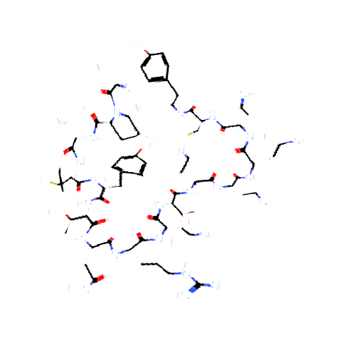 CC[C@H](C)[C@H](NC(=O)[C@@H]1C[C@@H](O)CN1C(=O)[C@@H](N)C(C)C)C(=O)N[C@H](C(=O)N[C@@H](Cc1ccc(O)cc1)C(=O)N[C@H](C(=O)N[C@@H](CC(N)=O)C(=O)N[C@@H](CCCNC(=N)N)C(=O)N[C@@H](CCN)C(=O)N[C@H](C(=O)N[C@H](CCN)C(=O)N[C@@H](CCN)C(=O)N[C@@H](CCN)C(=O)N[C@@H](CCN)C(=O)N[C@@H](CS)C(=O)N[C@@H](Cc1ccc(O)cc1)C(=O)O)[C@@H](C)O)[C@@H](C)O)C(C)(C)S